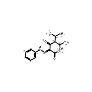 CC(=O)C(=NNc1ccccc1)C(=O)N(C(C)C)C(C)C